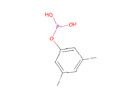 Cc1cc(C)cc(OP(O)O)c1